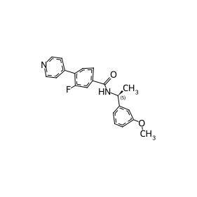 COc1cccc([C@H](C)NC(=O)c2ccc(-c3ccncc3)c(F)c2)c1